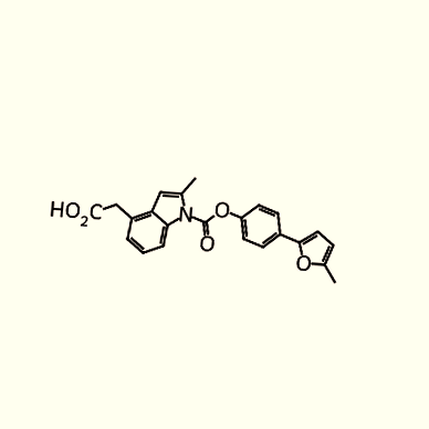 Cc1ccc(-c2ccc(OC(=O)n3c(C)cc4c(CC(=O)O)cccc43)cc2)o1